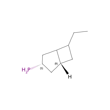 CCC1C[C@@H]2C[C@H](P)CC12